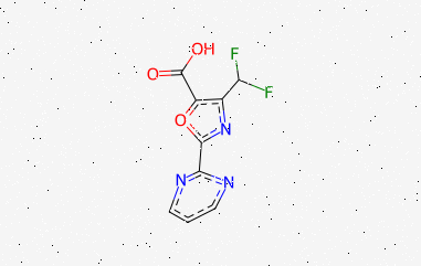 O=C(O)c1oc(-c2ncccn2)nc1C(F)F